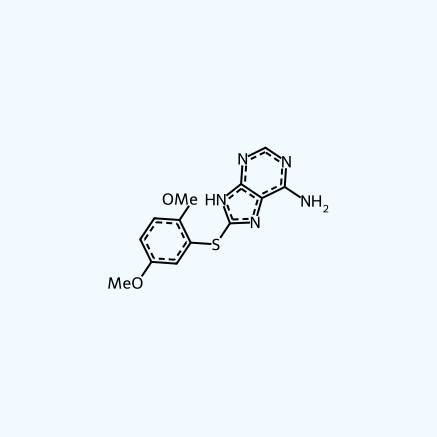 COc1ccc(OC)c(Sc2nc3c(N)ncnc3[nH]2)c1